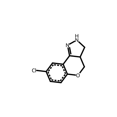 Clc1ccc2c(c1)C1=NNCC1CO2